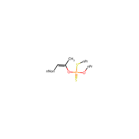 CCCCCCCCCC=C(C)OP(=S)(OCCC)SCCC